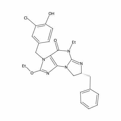 CCOc1nc2c(n1Cc1ccc(O)c(Cl)c1)C(=O)N(CC)C1=N[C@H](Cc3ccccc3)CN12